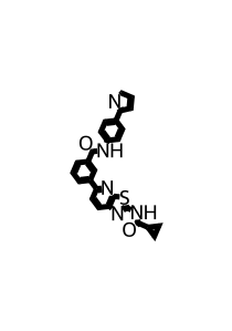 O=C(Nc1ccc(C2=NCC=C2)cc1)c1cccc(-c2ccc3nc(NC(=O)C4CC4)sc3n2)c1